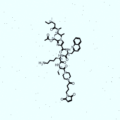 CC[C@H](C)CC(=O)N(C)[C@H](C[C@@H](OC(C)=O)c1nc(C(=O)N[C@@H](Cc2ccc3ccccc3n2)C(=O)N[C@H](CCCCN)C(=O)N[C@@H](CC)C(=O)N2CCN(C(=O)CCCN3C(=O)C=CC3=O)CC2)cs1)C(C)C